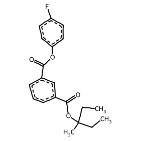 CCC(C)(CC)OC(=O)c1cccc(C(=O)Oc2ccc(F)cc2)c1